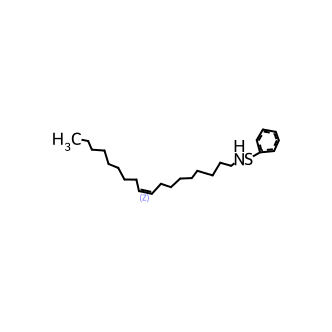 CCCCCCCC/C=C\CCCCCCCCNSc1ccccc1